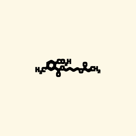 C=CC(=O)OCCCCOC(=O)c1cc(C)ccc1C(=O)O